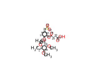 C=Cc1c(OC)cc(OC)cc1OC.COc1ccc(C=S(=O)=O)cc1OC(=O)CCC(=O)O